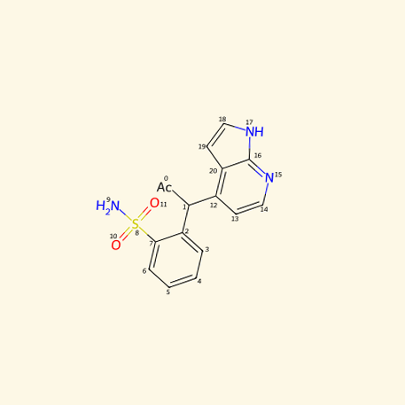 CC(=O)C(c1ccccc1S(N)(=O)=O)c1ccnc2[nH]ccc12